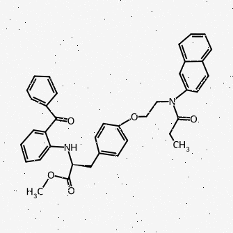 CCC(=O)N(CCOc1ccc(C[C@H](Nc2ccccc2C(=O)c2ccccc2)C(=O)OC)cc1)c1ccc2ccccc2c1